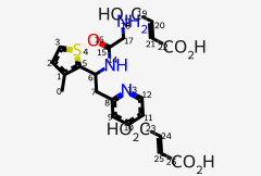 Cc1ccsc1C(Cc1ccccn1)NC(=O)CN.O=C(O)/C=C/C(=O)O.O=C(O)/C=C/C(=O)O